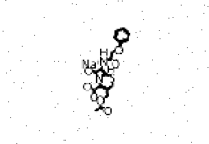 CC(=O)OCC1=C(C(=O)[O-])N2C(=O)[C@@H](NC(=O)COc3ccccc3)[C@H]2SC1.[Na+]